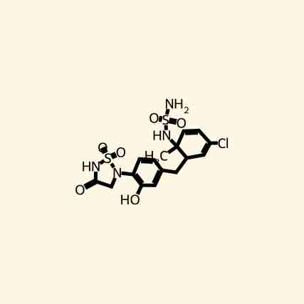 CC1(NS(N)(=O)=O)C=CC(Cl)=CC1Cc1ccc(N2CC(=O)NS2(=O)=O)c(O)c1